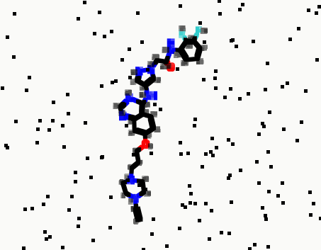 C#CN1CCN(CCCOc2ccc3c(Nc4cnn(CC(=O)Nc5cccc(F)c5F)c4)ncnc3c2)CC1